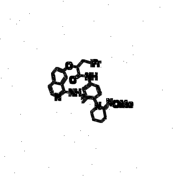 CON=C1CCCCN1c1ccc(NC(=O)C(CC(C)C)Oc2ccc3ccnc(N)c3c2)cc1C